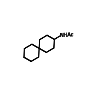 CC(=O)NC1CCC2(CCCCC2)CC1